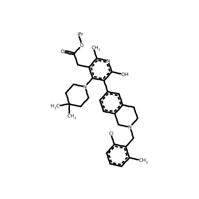 Cc1cccc(Cl)c1CN1CCc2cc(-c3c(O)nc(C)c(CC(=O)OC(C)C)c3N3CCC(C)(C)CC3)ccc2C1